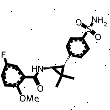 COc1ccc(F)cc1C(=O)N[C@H]1[C@H](c2ccc(S(N)(=O)=O)cc2)C1(C)C